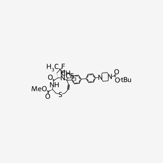 COC(=O)[C@@H]1CSCC#C[C@](c2ccc(-c3ccc(N4CCN(C(=O)OC(C)(C)C)CC4)cc3)cc2)(C(F)(F)F)N[C@@H](CC(C)(C)F)C(=O)N1